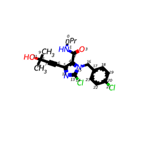 CCCNC(=O)c1c(C#CC(C)(C)O)nc(Cl)n1Cc1ccc(Cl)cc1